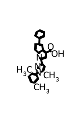 Cc1ccc(C)c(-n2nc(-c3cc(C(=O)O)c4cc(-c5ccccc5)ccc4n3)cc2C)c1